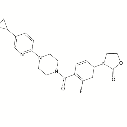 O=C(C1=C(F)CC(N2CCOC2=O)C=C1)N1CCN(c2ccc(C3CC3)cn2)CC1